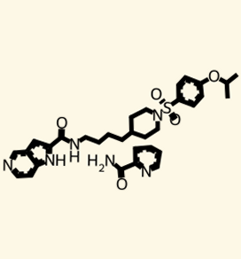 CC(C)Oc1ccc(S(=O)(=O)N2CCC(CCCCNC(=O)c3cc4cnccc4[nH]3)CC2)cc1.NC(=O)c1ccccn1